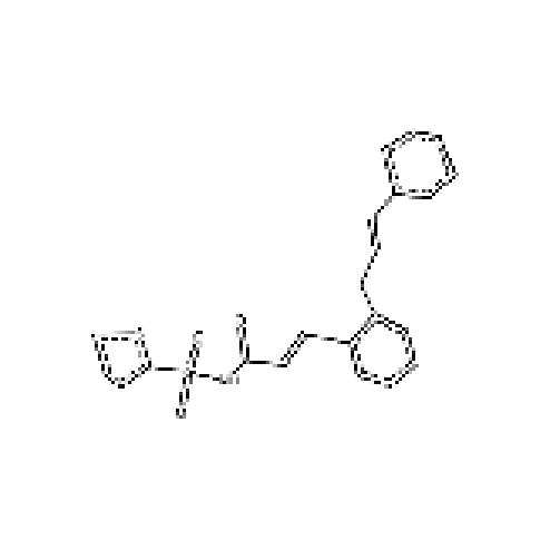 O=C(C=Cc1ccccc1CC=Cc1ccccc1)NS(=O)(=O)c1cccs1